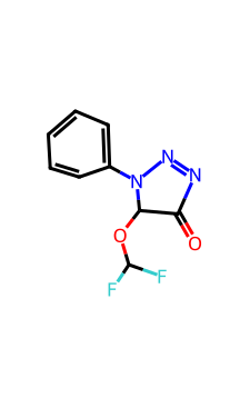 O=C1N=NN(c2ccccc2)C1OC(F)F